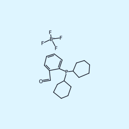 F[B-](F)(F)F.O=Cc1ccccc1P(C1CCCCC1)C1CCCCC1